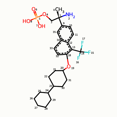 C[C@](N)(COP(=O)(O)O)c1ccc2c(C(F)(F)F)c(OC3CCC(C4CCCCC4)CC3)ccc2c1